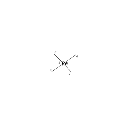 [CH3][Re]([CH3])([CH3])[CH3]